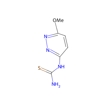 COc1ccc(NC(N)=S)nn1